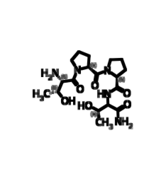 C[C@@H](O)C(NC(=O)[C@@H]1CCCN1C(=O)[C@@H]1CCCN1C(=O)[C@@H](N)[C@@H](C)O)C(N)=O